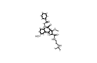 COc1c(C(=O)NCCNC(C)C)sc2c1c(=O)n(CC(=O)c1ccccc1)c1ccccc21.Cl